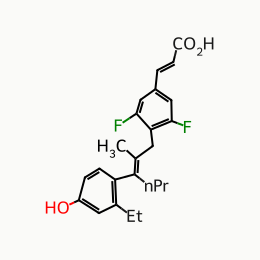 CCC/C(=C(/C)Cc1c(F)cc(/C=C/C(=O)O)cc1F)c1ccc(O)cc1CC